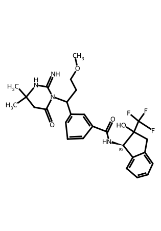 COCCC(c1cccc(C(=O)N[C@@H]2c3ccccc3CC2(O)C(F)(F)F)c1)N1C(=N)NC(C)(C)CC1=O